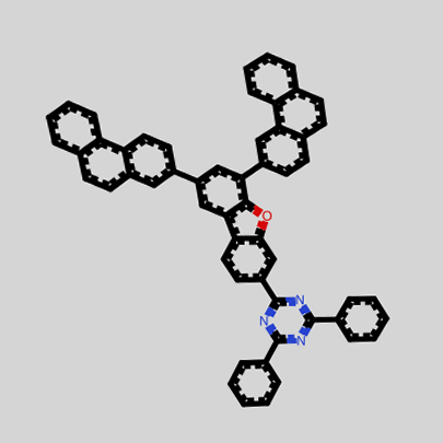 c1ccc(-c2nc(-c3ccccc3)nc(-c3ccc4c(c3)oc3c(-c5ccc6ccc7ccccc7c6c5)cc(-c5ccc6c(ccc7ccccc76)c5)cc34)n2)cc1